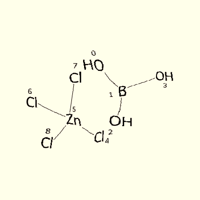 OB(O)O.[Cl][Zn]([Cl])([Cl])[Cl]